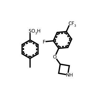 Cc1ccc(S(=O)(=O)O)cc1.Fc1cc(C(F)(F)F)ccc1OC1CNC1